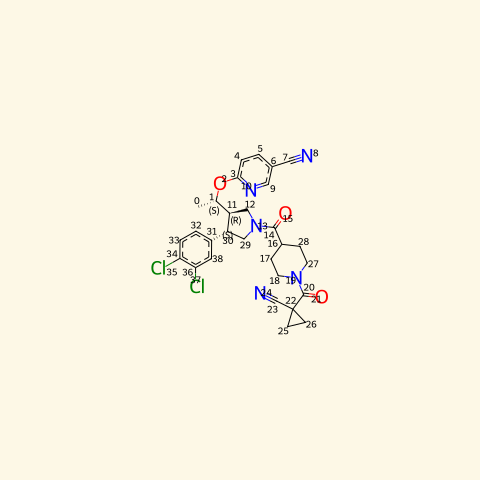 C[C@H](Oc1ccc(C#N)cn1)[C@H]1CN(C(=O)C2CCN(C(=O)C3(C#N)CC3)CC2)C[C@@H]1c1ccc(Cl)c(Cl)c1